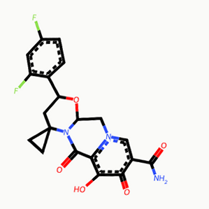 NC(=O)c1cn2c(c(O)c1=O)C(=O)N1C(C2)OC(c2ccc(F)cc2F)CC12CC2